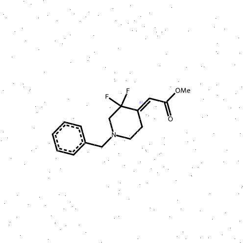 COC(=O)/C=C1\CCN(Cc2ccccc2)CC1(F)F